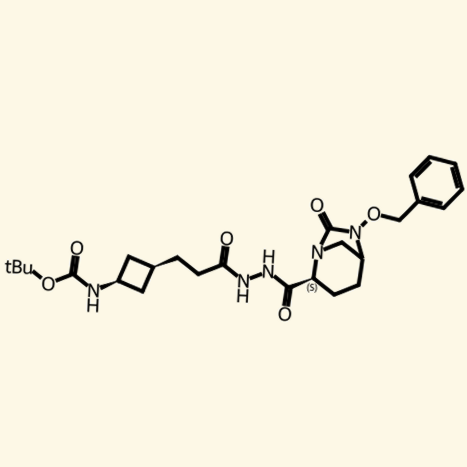 CC(C)(C)OC(=O)N[C@H]1C[C@@H](CCC(=O)NNC(=O)[C@@H]2CCC3CN2C(=O)N3OCc2ccccc2)C1